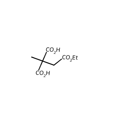 CCOC(=O)CC(C)(C(=O)O)C(=O)O